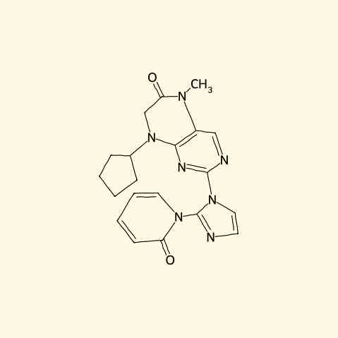 CN1C(=O)CN(C2CCCC2)c2nc(-n3ccnc3-n3ccccc3=O)ncc21